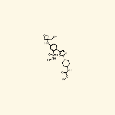 CCNS(=O)(=O)c1cc(NC2(CC(C)C)COC2)ccc1-c1cnc([C@H]2CC[C@H](NC(=O)OC(C)C)CC2)s1